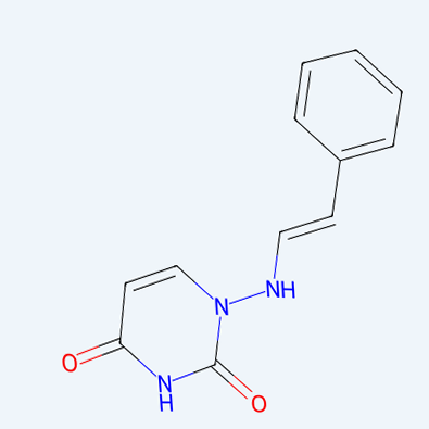 O=c1ccn(NC=Cc2ccccc2)c(=O)[nH]1